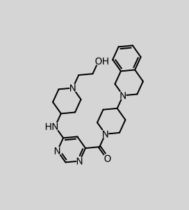 O=C(c1cc(NC2CCN(CCO)CC2)ncn1)N1CCC(N2CCc3ccccc3C2)CC1